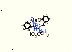 CC(=O)O.COc1ccccc1CNC(=N)Nc1n[nH]c2ccccc12